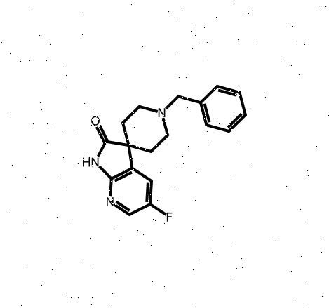 O=C1Nc2ncc(F)cc2C12CCN(Cc1ccccc1)CC2